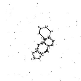 c1cc2cc3cscc3cc2c2c1CCCC2